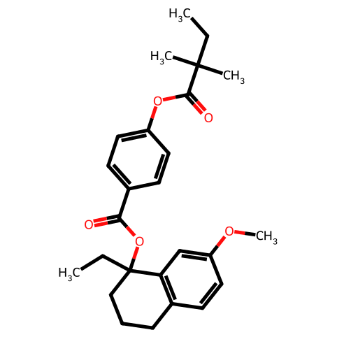 CCC(C)(C)C(=O)Oc1ccc(C(=O)OC2(CC)CCCc3ccc(OC)cc32)cc1